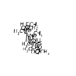 COc1nc(NCCN(C(=O)OC(C)(C)C)C(C)C)nc(OC)c1NC(=O)c1csc(Oc2cc(OC(C)C)ccc2C)n1